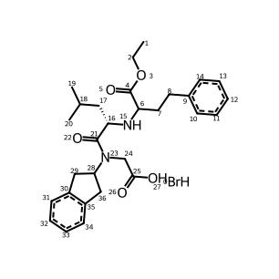 Br.CCOC(=O)C(CCc1ccccc1)N[C@@H](CC(C)C)C(=O)N(CC(=O)O)C1Cc2ccccc2C1